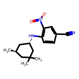 C[C@H]1C[C@H](Nc2ccc(C#N)cc2[N+](=O)[O-])CC(C)(C)C1